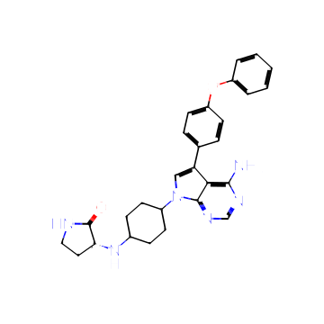 Nc1ncnc2c1c(-c1ccc(Oc3ccccc3)cc1)cn2C1CCC(N[C@H]2CCNC2=O)CC1